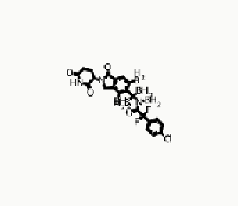 Bc1cc2c(c(B)c1C(B)(B)N(B)C(=O)C(F)(F)c1ccc(Cl)cc1)CN(C1CCC(=O)NC1=O)C2=O